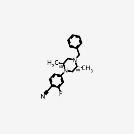 C[C@@H]1CN(c2ccc(C#N)c(F)c2)[C@@H](C)CN1Cc1ccccc1